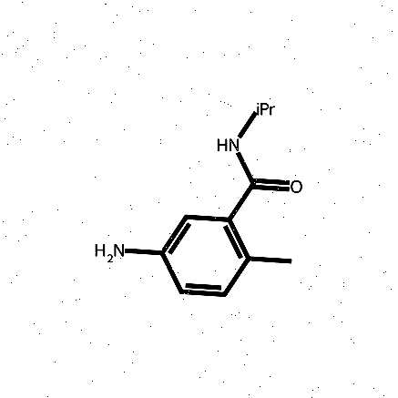 Cc1ccc(N)cc1C(=O)NC(C)C